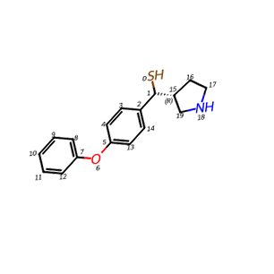 SC(c1ccc(Oc2ccccc2)cc1)[C@@H]1CCNC1